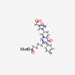 C/C=c1/c(=O)n(C2C=CC(F)=CC2)c(CCCCC(=O)OC)n/c1=C/Cc1cc(CO)on1